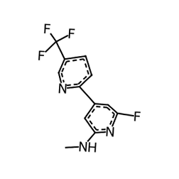 CNc1cc(-c2ccc(C(F)(F)F)cn2)cc(F)n1